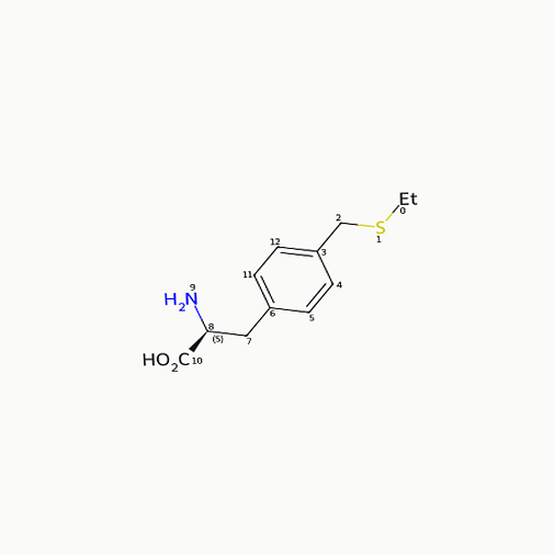 CCSCc1ccc(C[C@H](N)C(=O)O)cc1